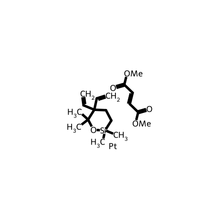 C=CC1(C=C)CC[Si](C)(C)OC1(C)C.COC(=O)/C=C/C(=O)OC.[Pt]